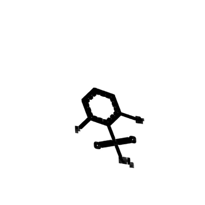 NS(=O)(=O)c1c(F)cccc1Br